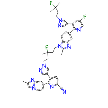 Cc1cn2ccc(-c3nc(C#N)ccc3-c3cnn(CCC(C)(F)CCn4c(C)nc5cc(-c6ncc(F)cc6-c6cnn(CCC(C)(C)F)c6)ccc54)c3)cc2n1